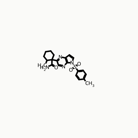 Cc1ccc(S(=O)(=O)n2ccc3nc(C4(C(N)=O)CCCCC4C)cnc32)cc1